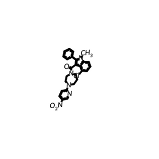 Cn1c(-c2ccccc2)c(C(=O)N2CCCN(c3ccc([N+](=O)[O-])cn3)CC2)c2c(Cl)cccc21